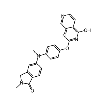 CN1Cc2cc(N(C)c3ccc(Oc4nc(O)c5ccncc5n4)cc3)ccc2C1=O